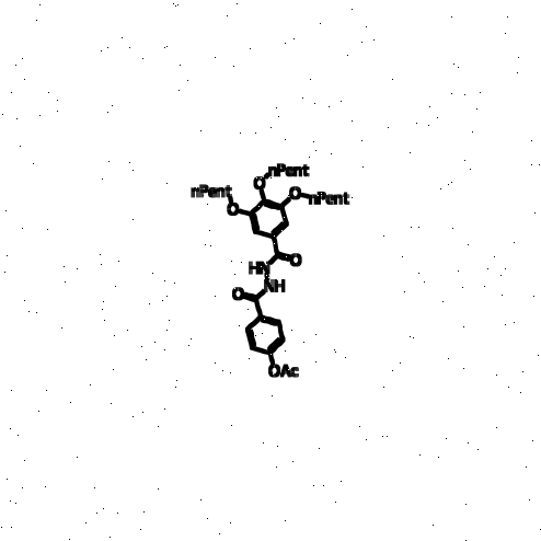 CCCCCOc1cc(C(=O)NNC(=O)c2ccc(OC(C)=O)cc2)cc(OCCCCC)c1OCCCCC